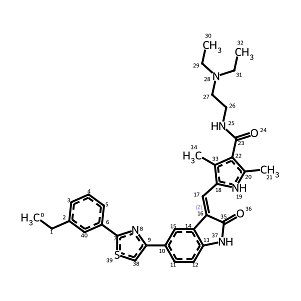 CCc1cccc(-c2nc(-c3ccc4c(c3)/C(=C/c3[nH]c(C)c(C(=O)NCCN(CC)CC)c3C)C(=O)N4)cs2)c1